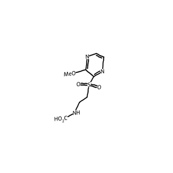 COc1nccnc1S(=O)(=O)CCNC(=O)O